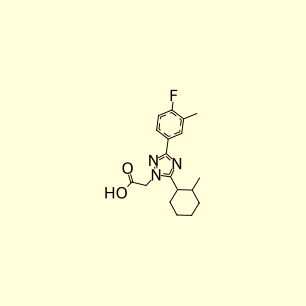 Cc1cc(-c2nc(C3CCCCC3C)n(CC(=O)O)n2)ccc1F